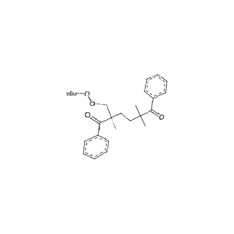 CCCCOOCC(C)(CCC(C)(C)C(=O)c1ccccc1)C(=O)c1ccccc1